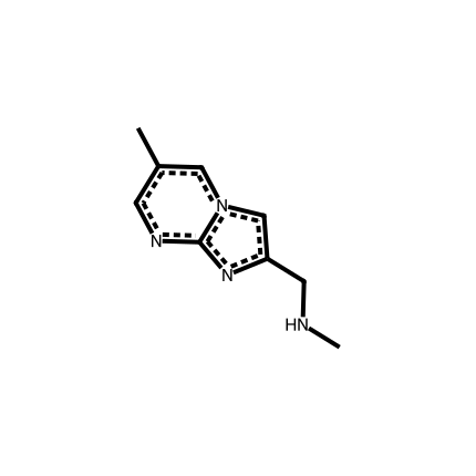 CNCc1cn2cc(C)cnc2n1